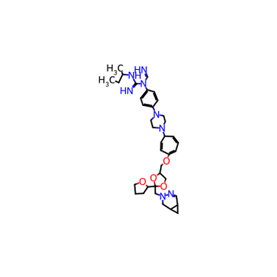 CCC(C)NC(=N)N(C=N)c1ccc(N2CCN(C3C=CC=C(OCC4COC(CN5CC6CC6C=N5)(C5CCCO5)O4)C=C3)CC2)cc1